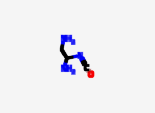 NCC(N)N=C=O